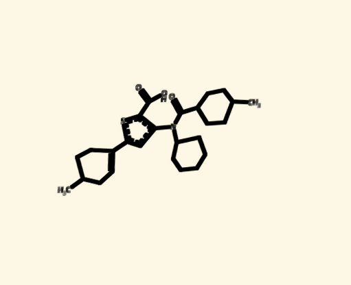 CC1CC=C(c2cc(N(C(=O)C3CCC(C)CC3)C3CCCCC3)c(C(=O)O)s2)CC1